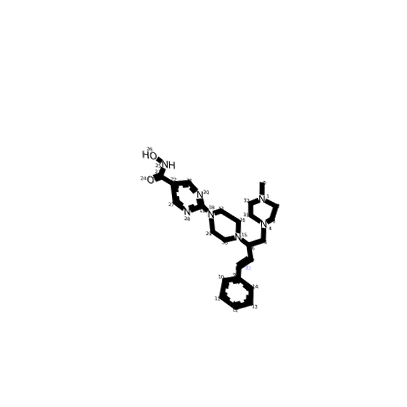 CN1CCN(CC(/C=C/c2ccccc2)N2CCN(c3ncc(C(=O)NO)cn3)CC2)CC1